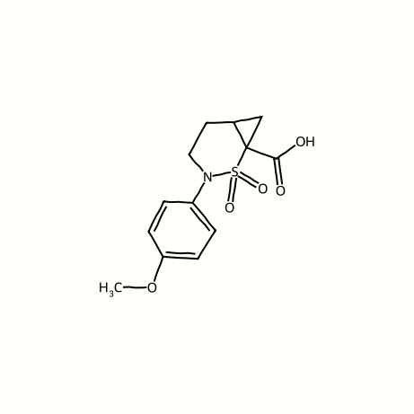 COc1ccc(N2CCC3CC3(C(=O)O)S2(=O)=O)cc1